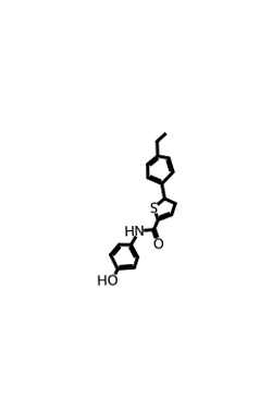 CCc1ccc(C2CC=C(C(=O)Nc3ccc(O)cc3)S2)cc1